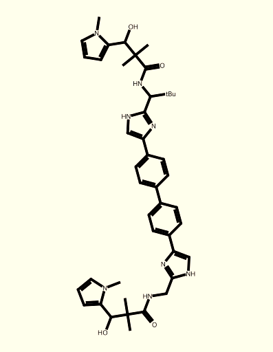 Cn1cccc1C(O)C(C)(C)C(=O)NCc1nc(-c2ccc(-c3ccc(-c4c[nH]c(C(NC(=O)C(C)(C)C(O)c5cccn5C)C(C)(C)C)n4)cc3)cc2)c[nH]1